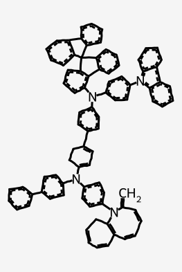 C=C1/C=C\C=C/C2=C(CC=CC=C2)N1c1ccc(N(C2=CC=C(c3ccc(N(c4ccc(-n5c6ccccc6c6ccccc65)cc4)c4cccc5c4-c4ccccc4C54c5ccccc5-c5ccccc54)cc3)CC2)c2ccc(-c3ccccc3)cc2)cc1